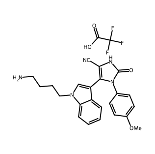 COc1ccc(-n2c(-c3cn(CCCCN)c4ccccc34)c(C#N)[nH]c2=O)cc1.O=C(O)C(F)(F)F